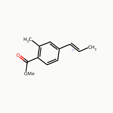 C/C=C/c1ccc(C(=O)OC)c(C)c1